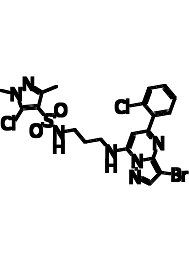 Cc1nn(C)c(Cl)c1S(=O)(=O)NCCCNc1cc(-c2ccccc2Cl)nc2c(Br)cnn12